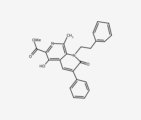 COC(=O)c1nc(C)c2c(cc(-c3ccccc3)c(=O)n2CCc2ccccc2)c1O